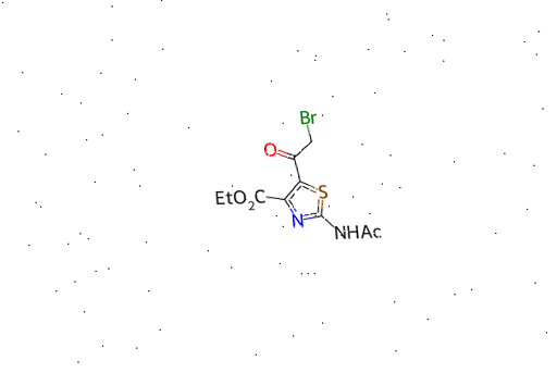 CCOC(=O)c1nc(NC(C)=O)sc1C(=O)CBr